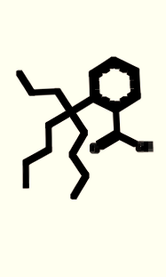 CCCCC(CCC)(CCCC)c1ccccc1C(=O)O